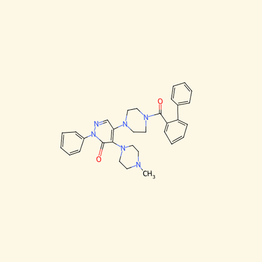 CN1CCN(c2c(N3CCN(C(=O)c4ccccc4-c4ccccc4)CC3)cnn(-c3ccccc3)c2=O)CC1